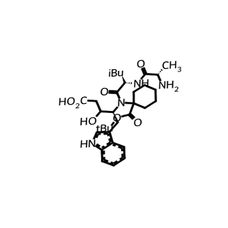 CC[C@H](C)[C@H](NC(=O)[C@H](C)N)C(=O)N([C@@H](Cc1c[nH]c2ccccc12)C(O)CC(=O)O)C1(C(=O)OC(C)(C)C)CCCCC1